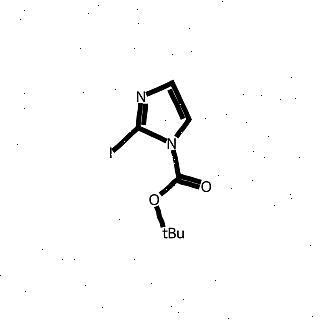 CC(C)(C)OC(=O)n1ccnc1I